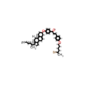 CC(C)CCC[C@@H](C)[C@H]1CCC2C3CC=C4CC(Oc5ccc(C(=O)C=Cc6ccc(OCCCCC(C)Br)cc6)cc5)CC[C@]4(C)C3CC[C@@]21C